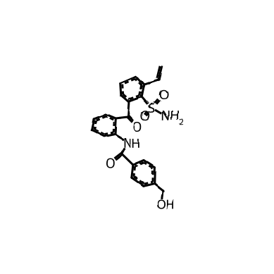 C=Cc1cccc(C(=O)c2ccccc2NC(=O)c2ccc(CO)cc2)c1S(N)(=O)=O